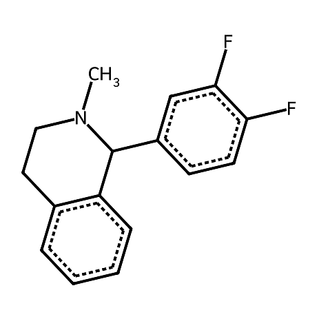 CN1CCc2ccccc2C1c1ccc(F)c(F)c1